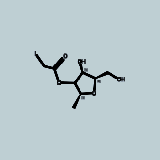 C[C@@H]1O[C@H](CO)[C@H](O)C1OC(=O)CI